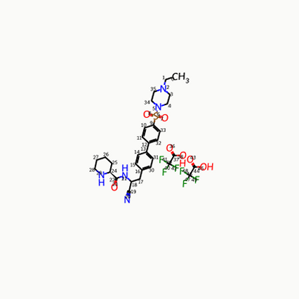 CCN1CCN(S(=O)(=O)c2ccc(-c3ccc(CC(C#N)NC(=O)[C@@H]4CCCCN4)cc3)cc2)CC1.O=C(O)C(F)(F)F.O=C(O)C(F)(F)F